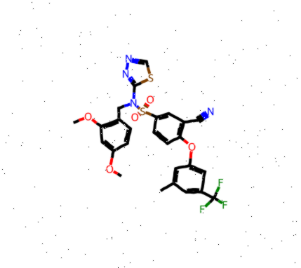 COc1ccc(CN(c2nncs2)S(=O)(=O)c2ccc(Oc3cc(C)cc(C(F)(F)F)c3)c(C#N)c2)c(OC)c1